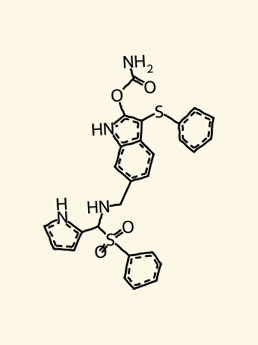 NC(=O)Oc1[nH]c2cc(CNC(c3ccc[nH]3)S(=O)(=O)c3ccccc3)ccc2c1Sc1ccccc1